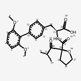 COc1cccc(OC)c1-c1ccc(C[C@H](NC(=O)C2(C(=O)C(C)C)CCCO2)C(=O)O)cc1